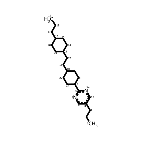 CCCc1cnc(C2CCC(CCC3CCC(CCC)CC3)CC2)nc1